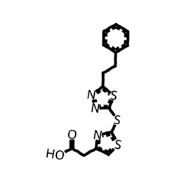 O=C(O)Cc1csc(Sc2nnc(CCc3ccccc3)s2)n1